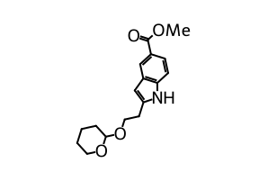 COC(=O)c1ccc2[nH]c(CCOC3CCCCO3)cc2c1